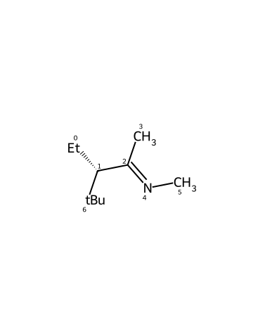 CC[C@H](/C(C)=N/C)C(C)(C)C